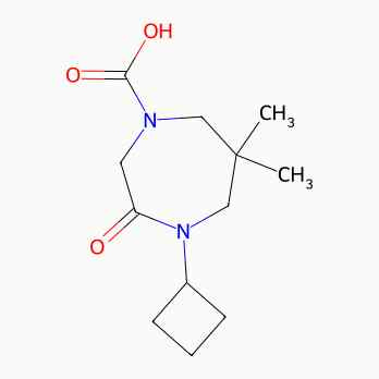 CC1(C)CN(C(=O)O)CC(=O)N(C2CCC2)C1